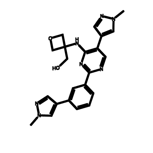 Cn1cc(-c2cccc(-c3ncc(-c4cnn(C)c4)c(NC4(CO)COC4)n3)c2)cn1